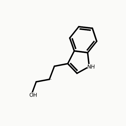 OC[CH]Cc1c[nH]c2ccccc12